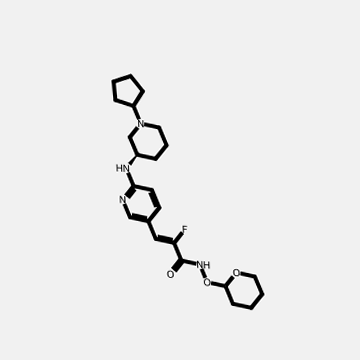 O=C(NOC1CCCCO1)C(F)=Cc1ccc(N[C@@H]2CCCN(C3CCCC3)C2)nc1